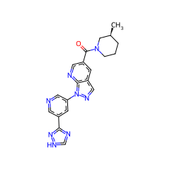 C[C@H]1CCCN(C(=O)c2cnc3c(cnn3-c3cncc(-c4nc[nH]n4)c3)c2)C1